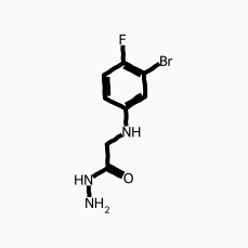 NNC(=O)CNc1ccc(F)c(Br)c1